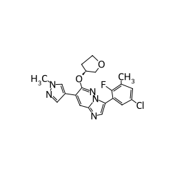 Cc1cc(Cl)cc(-c2cnc3cc(-c4cnn(C)c4)c(O[C@H]4CCOC4)nn23)c1F